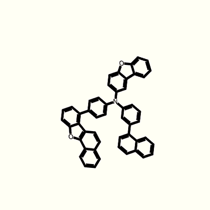 c1cc(-c2cccc3ccccc23)cc(N(c2ccc(-c3cccc4oc5c6ccccc6ccc5c34)cc2)c2ccc3oc4ccccc4c3c2)c1